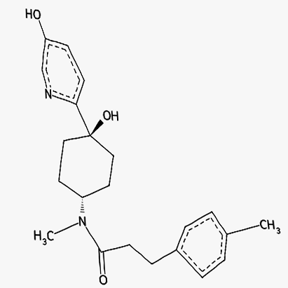 Cc1ccc(CCC(=O)N(C)[C@H]2CC[C@@](O)(c3ccc(O)cn3)CC2)cc1